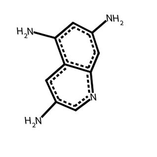 Nc1cc(N)c2cc(N)cnc2c1